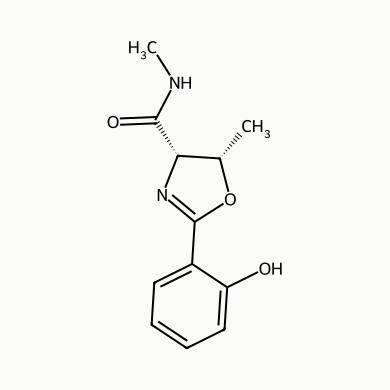 CNC(=O)[C@H]1N=C(c2ccccc2O)O[C@H]1C